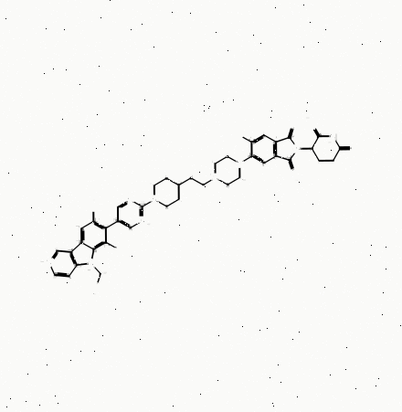 O=C1CCC(N2C(=O)c3cc(F)c(N4CCN(CCC5CCN(c6ncc(-c7c(F)cc8c9cnccc9n(CC(F)(F)F)c8c7F)cn6)CC5)CC4)cc3C2=O)C(=O)N1